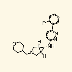 Fc1ccccc1-c1ccc(N[C@@H]2[C@@H]3CN(CC4CCOCC4)C[C@@H]32)nn1